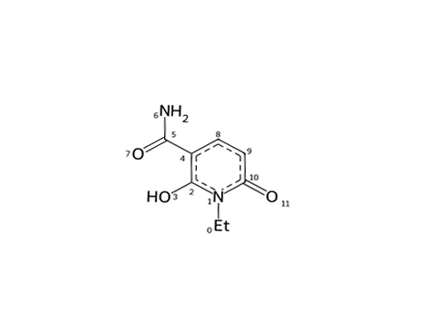 CCn1c(O)c(C(N)=O)ccc1=O